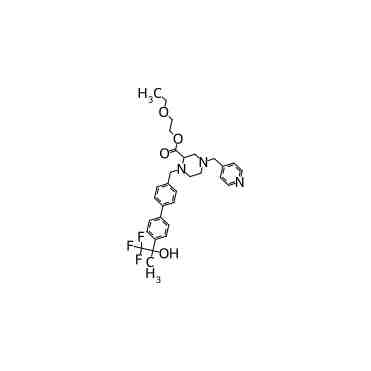 CCOCCOC(=O)C1CN(Cc2ccncc2)CCN1Cc1ccc(-c2ccc(C(C)(O)C(F)(F)F)cc2)cc1